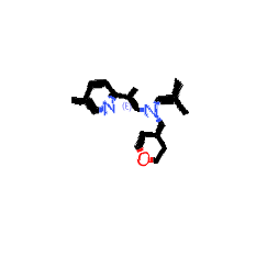 CC(C)=CN(/C=C(\C)c1ccc(C)cn1)CC1CCOCC1